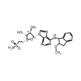 COC1Cc2ccccc2C1Nc1ncnc2c1ncn2[C@@H]1O[C@H](CCS(N)(=O)=O)[C@H](O)[C@H]1O